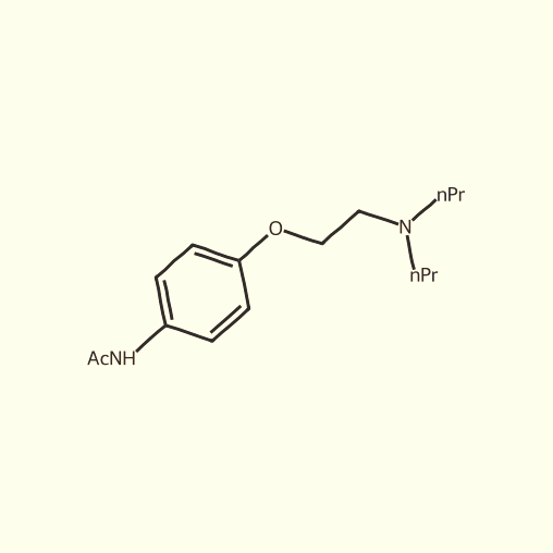 CCCN(CCC)CCOc1ccc(NC(C)=O)cc1